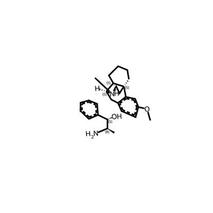 COc1ccc2c(c1)[C@]13CCCC[C@@H]1[C@H](C2)N(C)CC3.C[C@@H](N)[C@@H](O)c1ccccc1